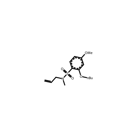 C=CCN(C)S(=O)(=O)c1ccc(OC)cc1OCCCC